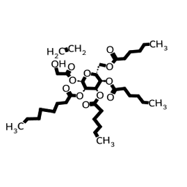 C=C.CCCCCCCC(=O)O[C@@H]1[C@H](OC(=O)CO)O[C@H](COC(=O)CCCCC)[C@@H](OC(=O)CCCCC)[C@@H]1OC(=O)CCCCC